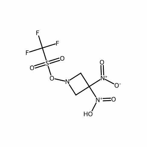 O=[N+]([O-])C1([N+](=O)O)CN(OS(=O)(=O)C(F)(F)F)C1